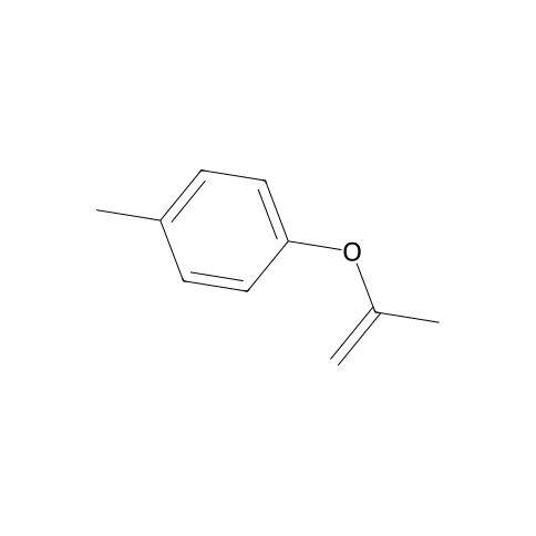 C=C(C)Oc1ccc(C)cc1